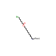 CCCCC/C=C\CC=CCCCCCCCCOC(=O)CCCCCCBr